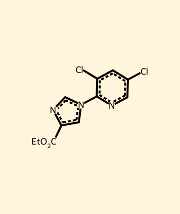 CCOC(=O)c1cn(-c2ncc(Cl)cc2Cl)cn1